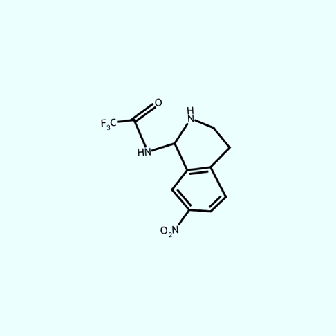 O=C(NC1NCCc2ccc([N+](=O)[O-])cc21)C(F)(F)F